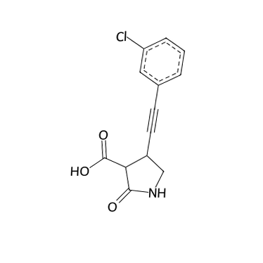 O=C(O)C1C(=O)NCC1C#Cc1cccc(Cl)c1